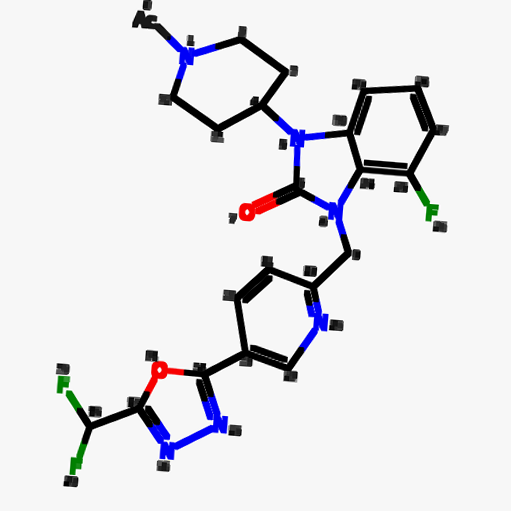 CC(=O)N1CCC(n2c(=O)n(Cc3ccc(-c4nnc(C(F)F)o4)cn3)c3c(F)cccc32)CC1